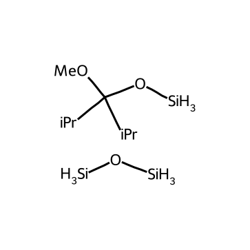 COC(O[SiH3])(C(C)C)C(C)C.[SiH3]O[SiH3]